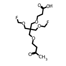 CC(=O)CCOCC(COCF)(COCF)COCCC(=O)O